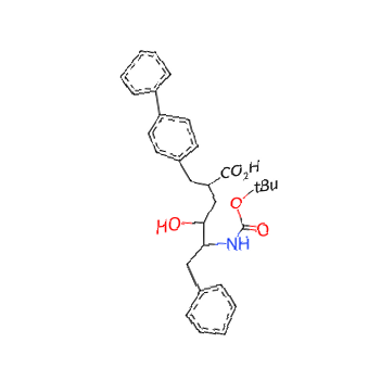 CC(C)(C)OC(=O)NC(Cc1ccccc1)C(O)CC(Cc1ccc(-c2ccccc2)cc1)C(=O)O